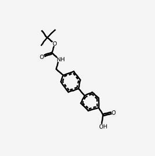 CC(C)(C)OC(=O)NCc1ccc(-c2ccc(C(=O)O)cc2)cc1